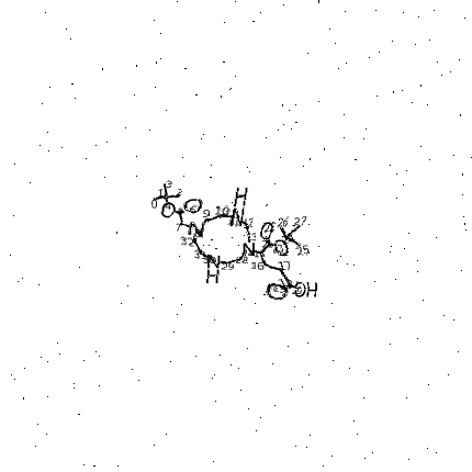 CC(C)(C)OC(=O)CN1CCNCCN(C(CCC(=O)O)C(=O)OC(C)(C)C)CCNCC1